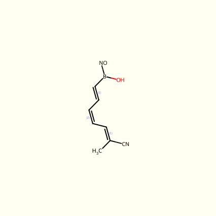 C\C(C#N)=C/C=C\C=C\B(O)N=O